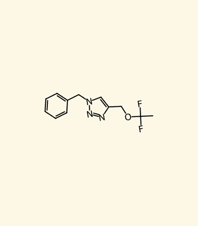 CC(F)(F)OCc1cn(Cc2ccccc2)nn1